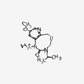 COc1cnc2c(c1)N(C)C(=O)N(C(C)C)COC2